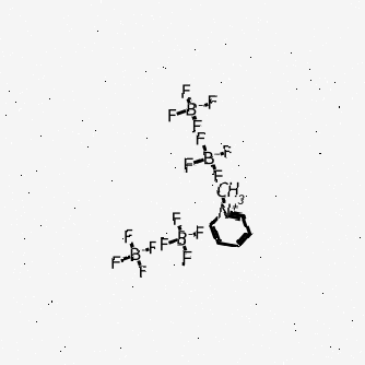 C[n+]1ccccc1.F[B-](F)(F)F.F[B-](F)(F)F.F[B-](F)(F)F.F[B-](F)(F)F